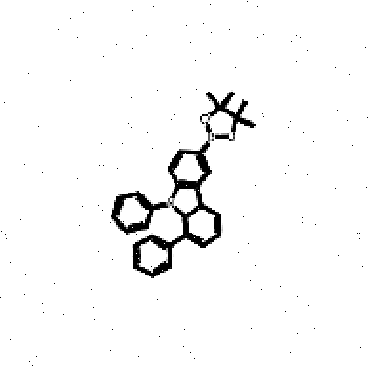 CC1(C)OB(c2ccc3c(c2)C2C=CC=C(c4ccccc4)C2N3c2ccccc2)OC1(C)C